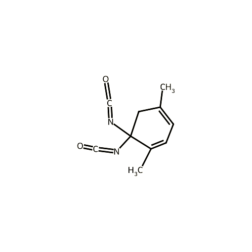 CC1=CC=C(C)C(N=C=O)(N=C=O)C1